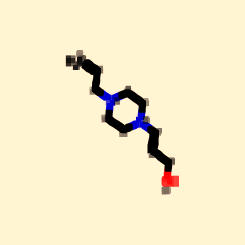 C=CCN1CCN(C=CCO)CC1